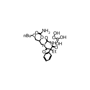 CCCCOCC(CN1C(=O)NC(=O)C(CC)(c2ccccc2)C1=O)OC(N)=O.OOB(O)O